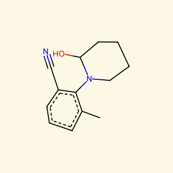 Cc1cccc(C#N)c1N1CCCCC1O